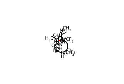 Cc1ncc(-c2cc3c4c(c2)c(C(C)O)nn4CC(=O)N2[C@H](C(=O)Nc4ccn(CC(F)(F)F)n4)C[C@@]4(CNC(=O)C(C)(C)CCCCC3)C[C@@H]24)cn1